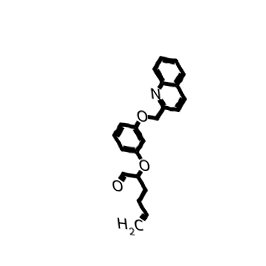 C=CCCC(C=O)Oc1cccc(OCc2ccc3ccccc3n2)c1